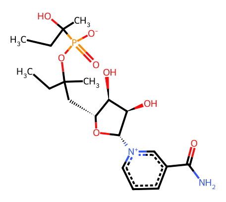 CCC(C)(C[C@H]1O[C@@H]([n+]2cccc(C(N)=O)c2)[C@H](O)[C@@H]1O)OP(=O)([O-])C(C)(O)CC